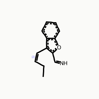 CC/C=C\c1c(C=N)oc2ccccc12